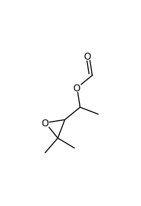 CC(OC=O)C1OC1(C)C